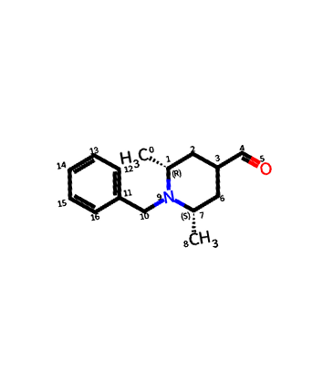 C[C@@H]1CC(C=O)C[C@H](C)N1Cc1ccccc1